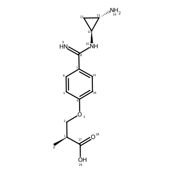 C[C@@H](COc1ccc(C(=N)N[C@H]2C[C@@H]2N)cc1)C(=O)O